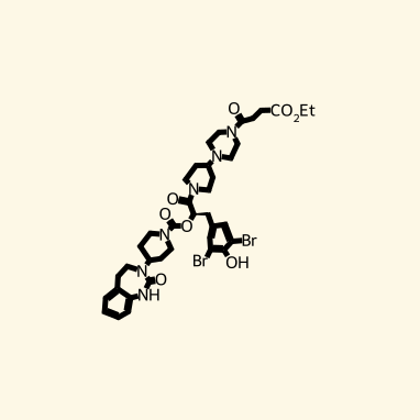 CCOC(=O)CCC(=O)N1CCN(C2CCN(C(=O)[C@@H](Cc3cc(Br)c(O)c(Br)c3)OC(=O)N3CCC(N4CCc5ccccc5NC4=O)CC3)CC2)CC1